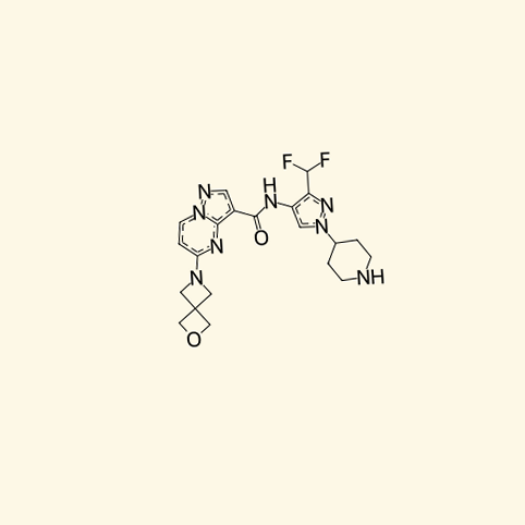 O=C(Nc1cn(C2CCNCC2)nc1C(F)F)c1cnn2ccc(N3CC4(COC4)C3)nc12